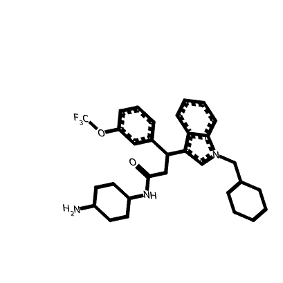 NC1CCC(NC(=O)CC(c2cccc(OC(F)(F)F)c2)c2cn(CC3CCCCC3)c3ccccc23)CC1